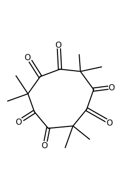 CC1(C)C(=O)C(=O)C(C)(C)C(=O)C(=O)C(C)(C)C(=O)C1=O